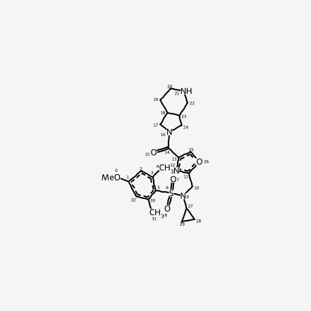 COc1cc(C)c(S(=O)(=O)N(Cc2nc(C(=O)N3CC4CCNCC4C3)co2)C2CC2)c(C)c1